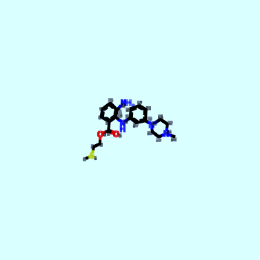 CSCCOC(=O)c1cccc(N)c1Nc1cccc(N2CCN(C)CC2)c1